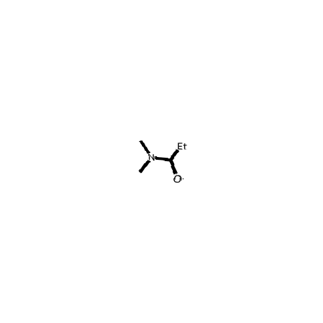 CCC([O])N(C)C